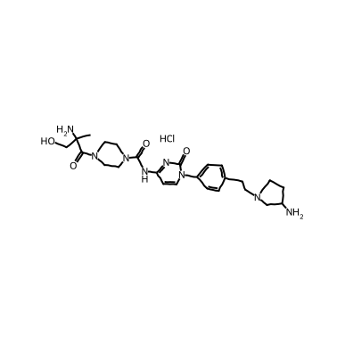 CC(N)(CO)C(=O)N1CCN(C(=O)Nc2ccn(-c3ccc(CCN4CCC(N)C4)cc3)c(=O)n2)CC1.Cl